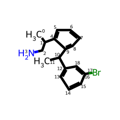 CC(CN)c1ccccc1C(C)c1cccc(Br)c1